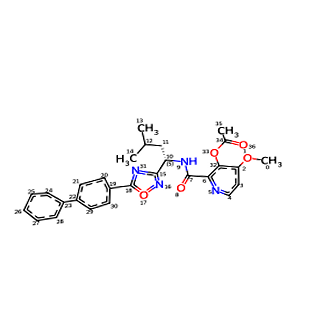 COc1ccnc(C(=O)N[C@@H](CC(C)C)c2noc(-c3ccc(-c4ccccc4)cc3)n2)c1OC(C)=O